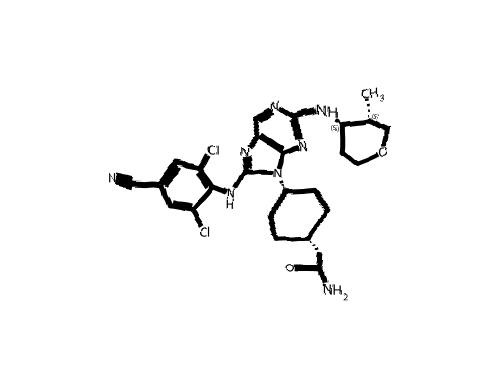 C[C@@H]1COCC[C@@H]1Nc1ncc2nc(Nc3c(Cl)cc(C#N)cc3Cl)n([C@H]3CC[C@@H](CC(N)=O)CC3)c2n1